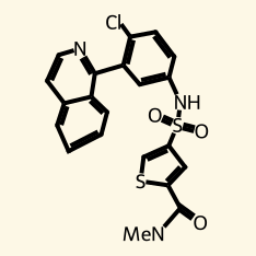 CNC(=O)c1cc(S(=O)(=O)Nc2ccc(Cl)c(-c3nccc4ccccc34)c2)cs1